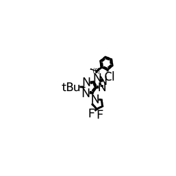 C[C@@H](c1ccccc1Cl)n1nnc2c(N3CCC(F)(F)C3)nc(C(C)(C)C)nc21